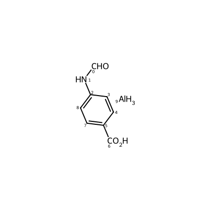 O=CNc1ccc(C(=O)O)cc1.[AlH3]